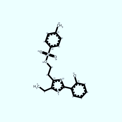 CCc1sc(-c2ccccc2Cl)nc1CCOS(=O)(=O)c1ccc(C)cc1